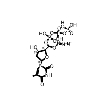 Cc1cn([C@H]2C[C@H](O)[C@@H](C(ON=[N+]=[N-])OP(=O)(O)OP(=O)(O)OP(=O)(O)O)O2)c(=O)[nH]c1=O